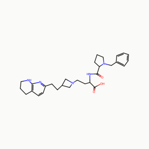 O=C(O)C(CCN1CC(CCc2ccc3c(n2)NCCC3)C1)NC(=O)C1CCCN1Cc1ccccc1